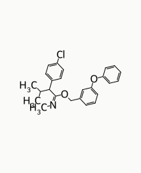 CN=C(OCc1cccc(Oc2ccccc2)c1)C(c1ccc(Cl)cc1)C(C)C